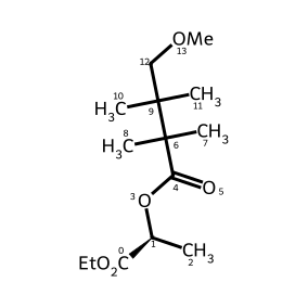 CCOC(=O)[C@H](C)OC(=O)C(C)(C)C(C)(C)COC